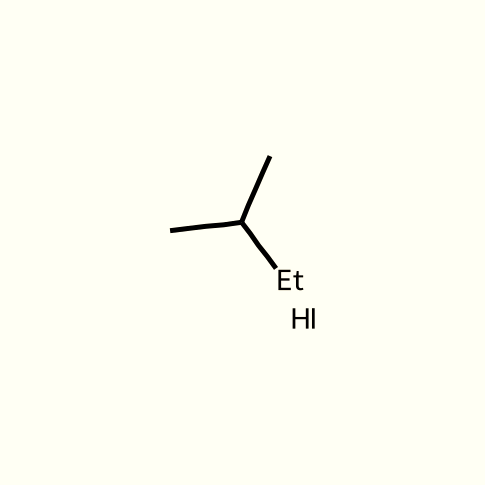 CCC(C)C.I